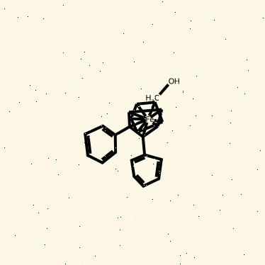 CO.c1ccc([C]23[CH]4[CH]5[CH]6[C]2(c2ccccc2)[Fe]54632789[CH]3[CH]2[CH]7[CH]8[CH]39)cc1